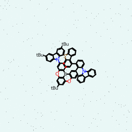 CC(C)(C)c1cc2c3c(c1)Oc1ccc(-c4c(-c5cccc6sc7ccccc7c56)cccc4-n4c5ccccc5c5ccccc54)cc1B3c1ccc(-n3c4ccc(C(C)(C)C)cc4c4cc(C(C)(C)C)ccc43)cc1O2